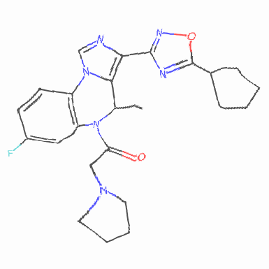 CC1c2c(-c3noc(C4CCCC4)n3)ncn2-c2ccc(F)cc2N1C(=O)CN1CCCC1